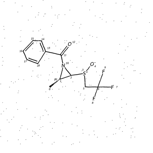 C[C@@H]1C([S+]([O-])CC(F)(F)F)N1C(=O)c1ccccc1